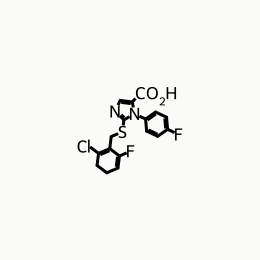 O=C(O)c1cnc(SCC2=C(Cl)CCC=C2F)n1-c1ccc(F)cc1